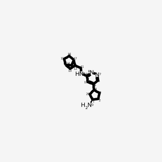 N[C@@H]1CCC(c2cnnc(NCC3CC4CCC3C4)c2)C1